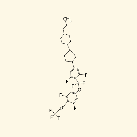 CCCC1CCC(C2CCC(c3cc(F)c(C(F)(F)Oc4cc(F)c(C#CC(F)(F)F)c(F)c4)c(F)c3)CC2)CC1